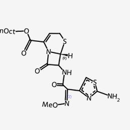 CCCCCCCCOC(=O)C1=CCS[C@@H]2C(NC(=O)/C(=N\OC)c3csc(N)n3)C(=O)N12